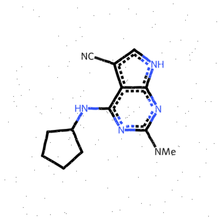 CNc1nc(NC2CCCC2)c2c(C#N)c[nH]c2n1